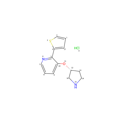 Cl.c1csc(-c2ncccc2O[C@@H]2CCNC2)c1